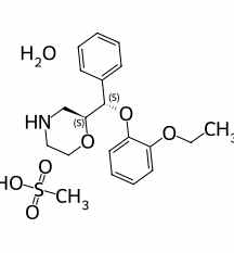 CCOc1ccccc1O[C@@H](c1ccccc1)[C@@H]1CNCCO1.CS(=O)(=O)O.O